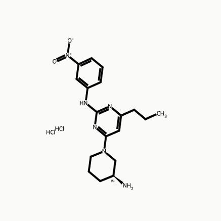 CCCc1cc(N2CCC[C@H](N)C2)nc(Nc2cccc([N+](=O)[O-])c2)n1.Cl.Cl